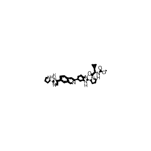 COC(=O)N[C@H](C(=O)N1CCC[C@H]1c1nc2ccc(-c3cc4ccc(-c5cnc([C@@H]6CCCN6)[nH]5)cc4cn3)cc2[nH]1)C1CC1